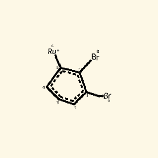 Brc1ccc[c]([Ru+])c1Br